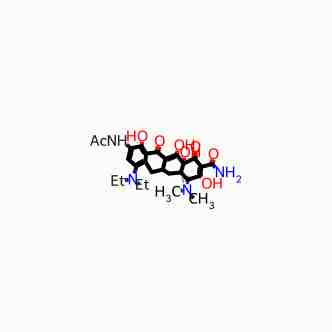 CCN(CC)c1cc(NC(C)=O)c(O)c2c1CC1CC3[C@H](N(C)C)C(O)=C(C(N)=O)C(=O)C3(O)C(O)=C1C2=O